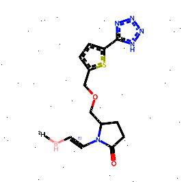 [2H]B/C=C/N1C(=O)CCC1COCc1ccc(-c2nnn[nH]2)s1